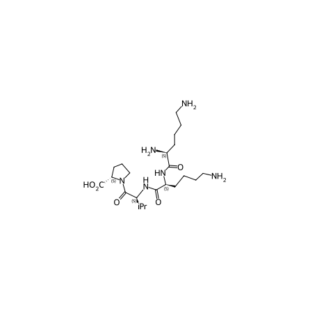 CC(C)[C@H](NC(=O)[C@H](CCCCN)NC(=O)[C@@H](N)CCCCN)C(=O)N1CCC[C@H]1C(=O)O